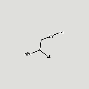 CCCCC(CC)[CH2][Zn][CH](C)C